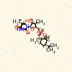 C=C(C)[C@H]1CC[C@@]2(C)S[P@](=S)(OC[C@H]3O[C@@H](n4cc(C)c(=O)[nH]c4=O)[C@H](O)[C@@H]3C)O[C@@H]2C1